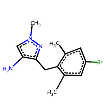 Cc1cc(Br)cc(C)c1Cc1nn(C)cc1N